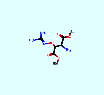 CC(C)(C)OC(=O)C(N)C(ON=C(N)N)C(=O)OC(C)(C)C